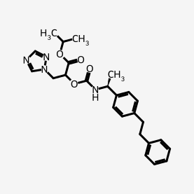 CC(C)OC(=O)C(Cn1cncn1)OC(=O)N[C@@H](C)c1ccc(CCc2ccccc2)cc1